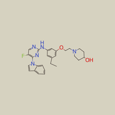 CCc1cc(Nc2ncc(F)c(-n3ccc4ccccc43)n2)cc(OCCN2CCC(O)CC2)c1